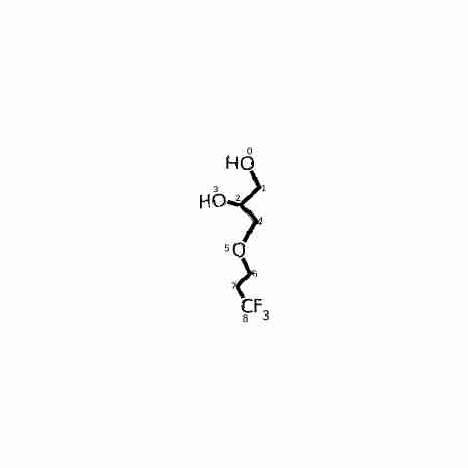 OCC(O)COCCC(F)(F)F